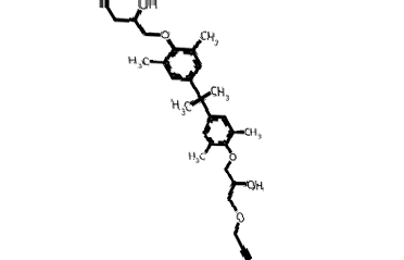 C#CCOCC(O)COc1c(C)cc(C(C)(C)c2cc(C)c(OCC(O)CCl)c(C)c2)cc1C